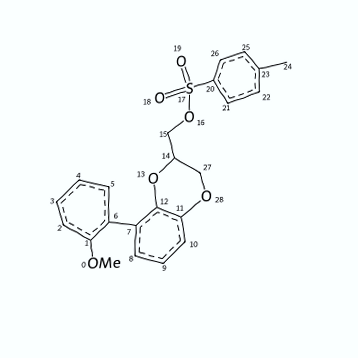 COc1ccccc1-c1cccc2c1OC(COS(=O)(=O)c1ccc(C)cc1)CO2